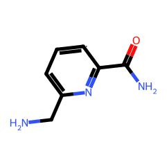 NCc1cc[c]c(C(N)=O)n1